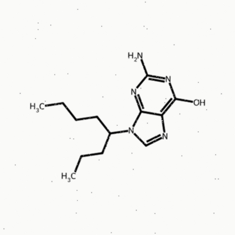 CCCCC(CCC)n1cnc2c(O)nc(N)nc21